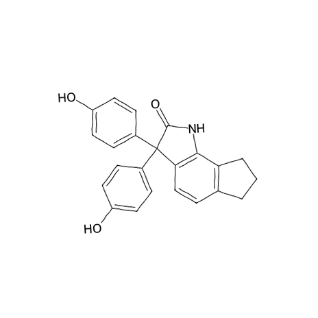 O=C1Nc2c(ccc3c2CCC3)C1(c1ccc(O)cc1)c1ccc(O)cc1